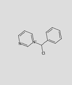 ClC(c1ccccc1)[n+]1cccnc1